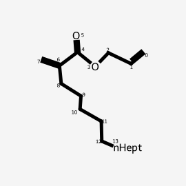 C=CCOC(=O)C(=C)CCCCCCCCCCCC